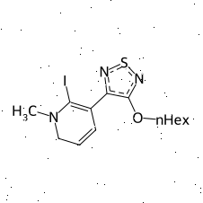 CCCCCCOc1nsnc1C1=C(I)N(C)CC=C1